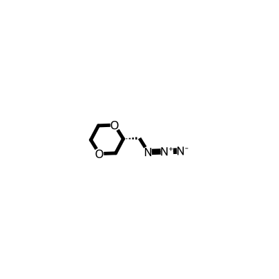 [N-]=[N+]=NC[C@@H]1COCCO1